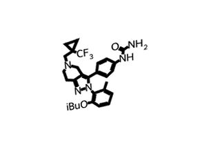 Cc1cccc(OCC(C)C)c1-n1nc2c(c1-c1ccc(NC(N)=O)cc1)CN(CC1(C(F)(F)F)CC1)CC2